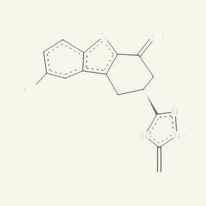 C=C1C[C@@H](c2n[nH]c(=S)[nH]2)Cc2c1[nH]c1ccc(C)cc21